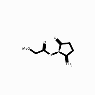 C=C1CCC(=O)N1OC(=O)COC